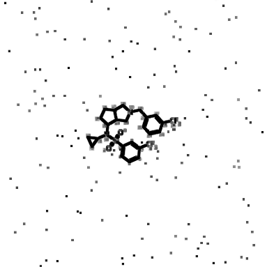 O=S(=O)(c1cccc(C(F)(F)F)c1)N(C1CC1)C1CCC2CN(Cc3cccc(C(F)(F)F)c3)CC21